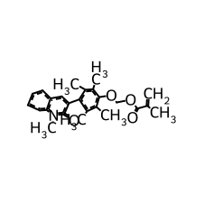 C=C(C)C(=O)OCOc1c(C)c(C)c(-c2cc3ccccc3n(C)c2=O)c(C)c1C